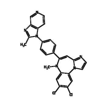 Cc1nc2cnccc2n1-c1ccc(C2=Cc3nccn3-c3cc(Cl)c(Cl)cc3N2C)cc1